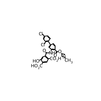 CN1CC(OC(=O)c2ccc(-c3ccc(Cl)cc3Cl)cc2NC(=O)c2cc(O)c(C(=O)O)cc2C(=O)O)C1